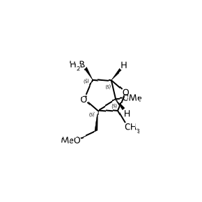 B[C@@H]1O[C@@]2(COC)C(C)O[C@@H]1[C@@H]2OC